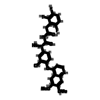 COc1cc2nccc(Oc3ccc(N(S)C(=O)NC(=O)Cc4c(F)ccc(F)c4F)cc3Cl)c2cc1OC